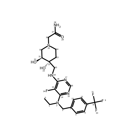 CCN(Cc1ccc(C(F)(F)F)cc1)c1ncnc(NC[C@]2(O)CCN(CC(N)=O)C[C@@H]2O)c1F